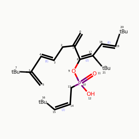 C=C(C/C=C/C(=C)C(C)(C)C)/C(OP(=O)(O)C/C=C\C(C)(C)C)=C(\C=C\C(C)(C)C)C(C)(C)C